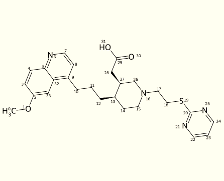 COc1ccc2nccc(CCC[C@@H]3CCN(CCSc4ncccn4)C[C@@H]3CC(=O)O)c2c1